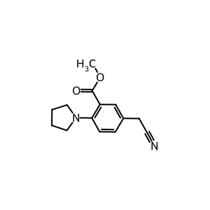 COC(=O)c1cc(CC#N)ccc1N1CCCC1